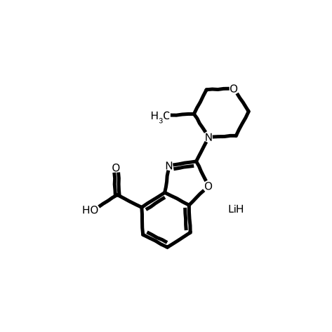 CC1COCCN1c1nc2c(C(=O)O)cccc2o1.[LiH]